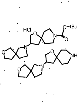 C1CC2(CCN1)CC(N1CCC3(CCOC3)C1)CO2.CC(C)(C)OC(=O)N1CCC2(CC1)CC(N1CCC3(CCOC3)C1)CO2.Cl